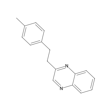 Cc1ccc(CCc2cnc3ccccc3n2)cc1